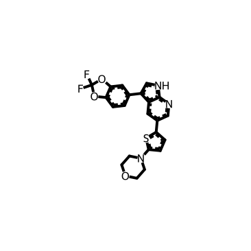 FC1(F)Oc2ccc(-c3c[nH]c4ncc(-c5ccc(N6CCOCC6)s5)cc34)cc2O1